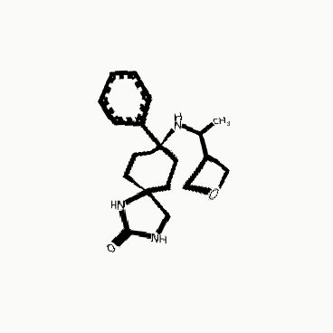 CC(N[C@]1(c2ccccc2)CC[C@@]2(CC1)CNC(=O)N2)C1COC1